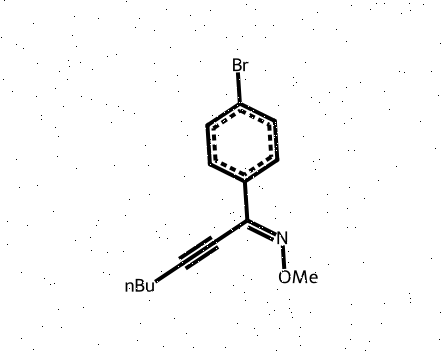 CCCCC#C/C(=N\OC)c1ccc(Br)cc1